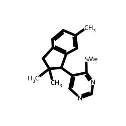 CSc1ncncc1C1c2cc(C)ccc2CC1(C)C